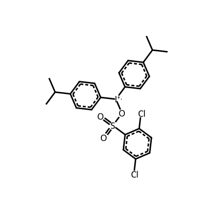 CC(C)c1ccc([I+](OS(=O)(=O)c2cc(Cl)ccc2Cl)c2ccc(C(C)C)cc2)cc1